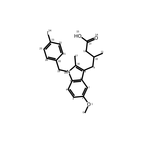 COc1ccc2c(c1)c(CC(C)CC(=O)O)c(C)n2Cc1ccc(I)cc1